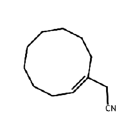 N#CC/C1=C/CCCCCCCC1